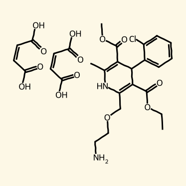 CCOC(=O)C1=C(COCCN)NC(C)=C(C(=O)OC)C1c1ccccc1Cl.O=C(O)/C=C\C(=O)O.O=C(O)/C=C\C(=O)O